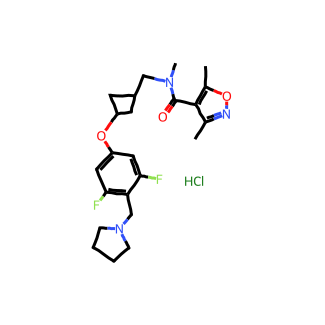 Cc1noc(C)c1C(=O)N(C)CC1CC(Oc2cc(F)c(CN3CCCC3)c(F)c2)C1.Cl